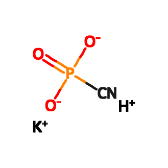 N#CP(=O)([O-])[O-].[H+].[K+]